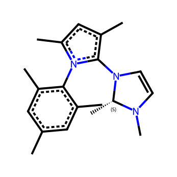 Cc1cc(C)c(-n2c(C)cc(C)c2N2C=CN(C)[C@@H]2C)c(C)c1